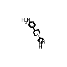 Nc1ccc(C2CCN(c3cn[nH]c3)CC2)cc1